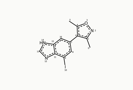 Cc1noc(C)c1-c1cc(I)c2nc[nH]c2c1